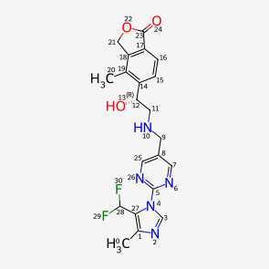 Cc1ncn(-c2ncc(CNC[C@H](O)c3ccc4c(c3C)COC4=O)cn2)c1C(F)F